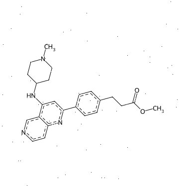 COC(=O)CCc1ccc(-c2cc(NC3CCN(C)CC3)c3cnccc3n2)cc1